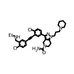 CCNCc1cc(C#Cc2cc(-c3nn(CCCN4CCCCC4)c4c3CN(C(N)=O)CC4)ccc2Cl)ccc1Cl